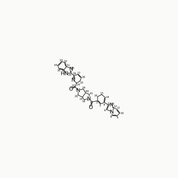 O=C(C1=CC(c2cn3ccccc3n2)=CCC1)N1CC2CN(C(=O)C3CC=CC(c4nc5ccccc5[nH]4)=N3)CC2C1